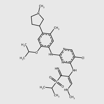 CN/C=C(/Nc1nc(Nc2cc(C)c(C3CCN(C)C3)cc2OC(C)C)ncc1Cl)C(=N)S(=O)(=O)C(C)C